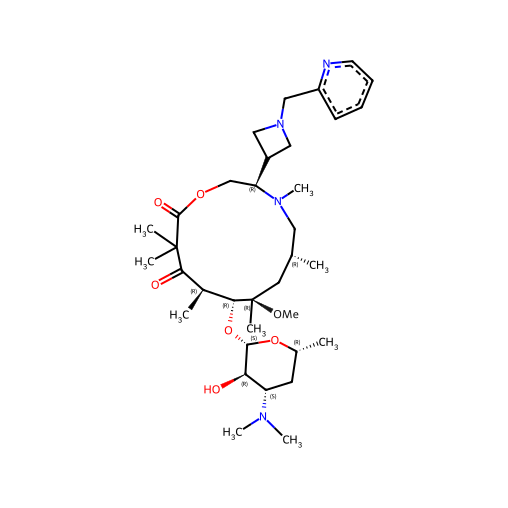 CO[C@]1(C)C[C@@H](C)CN(C)[C@H](C2CN(Cc3ccccn3)C2)COC(=O)C(C)(C)C(=O)[C@H](C)[C@H]1O[C@@H]1O[C@H](C)C[C@H](N(C)C)[C@H]1O